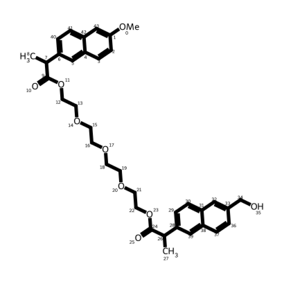 COc1ccc2cc(C(C)C(=O)OCCOCCOCCOCCOC(=O)C(C)c3ccc4cc(CO)ccc4c3)ccc2c1